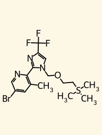 Cc1cc(Br)cnc1-c1nc(C(F)(F)F)cn1COCCS(C)(C)C